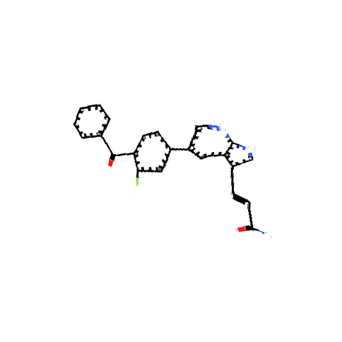 NC(=O)C=Cc1c[nH]c2ncc(-c3ccc(C(=O)c4ccccc4)c(F)c3)cc12